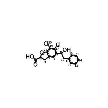 O=C(O)C1Cc2cc(C(O)Cc3ccccc3)c(Cl)c(Cl)c2O1